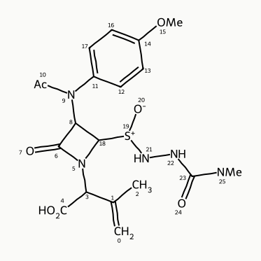 C=C(C)C(C(=O)O)N1C(=O)C(N(C(C)=O)c2ccc(OC)cc2)C1[S+]([O-])NNC(=O)NC